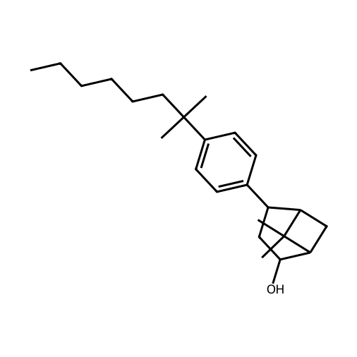 CCCCCCC(C)(C)c1ccc(C2CC(O)C3CC2C3(C)C)cc1